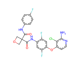 Nc1nccc(Oc2cc(F)c(NC(=O)C3(C(=O)Nc4ccc(F)cc4)COC3)cc2F)c1Cl